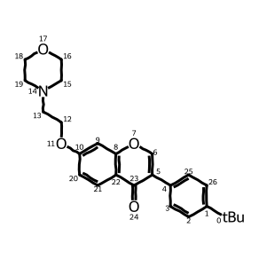 CC(C)(C)c1ccc(-c2coc3cc(OCCN4CCOCC4)ccc3c2=O)cc1